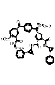 CCCCCCCCN1CCN(C(=O)c2ccc(C(=O)N3C[C@@H](C(=O)N[C@H]4C[C@@H]4c4ccccc4)[C@H](C(=O)N[C@H]4C[C@@H]4c4ccccc4)C3)cc2)CC1C(=O)NCCCCCC.O=CO